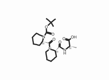 C[C@H](NC(=O)[C@@H]1CCCCN1C(=O)[C@@H]1CCCCN1C(=O)OC(C)(C)C)C(=O)O